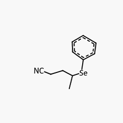 CC(CCC#N)[Se]c1ccccc1